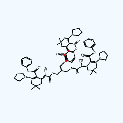 CC1(C)CC(N2CCCC2)=C(C(=O)Oc2ccccc2)/C(=C(\C#N)C(=O)OCC(COC(=O)/C(C#N)=C2\CC(C)(C)CC(N3CCCC3)=C2C(=O)Oc2ccccc2)COC(=O)/C(C#N)=C2\CC(C)(C)CC(N3CCCC3)=C2C(=O)Oc2ccccc2)C1